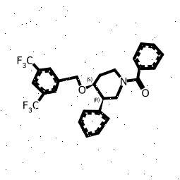 O=C(c1ccccc1)N1CC[C@H](OCc2cc(C(F)(F)F)cc(C(F)(F)F)c2)[C@H](c2ccccc2)C1